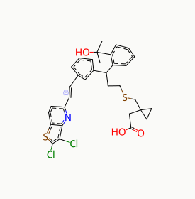 CC(C)(O)c1ccccc1C(CCSCC1(CC(=O)O)CC1)c1cccc(/C=C/c2ccc3sc(Cl)c(Cl)c3n2)c1